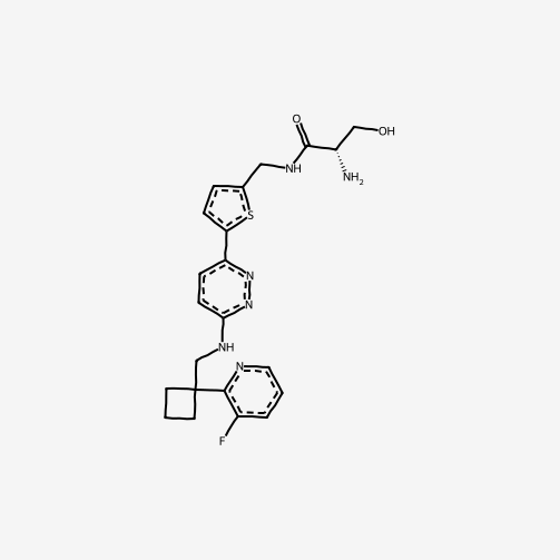 N[C@@H](CO)C(=O)NCc1ccc(-c2ccc(NCC3(c4ncccc4F)CCC3)nn2)s1